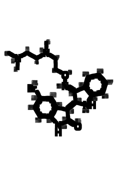 CN(C)CCN(C)CCO/N=C1/C(=C2/C(=O)Nc3ccc(Br)cc32)Nc2ccccc21